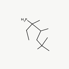 CCC(C)(P)C(C)CC(C)(C)C